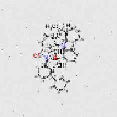 CC(C)(C)c1cccc2c3cccc(C(C)(C)C)c3n(-c3cccc4c3C(=O)N(c3cccc(-c5ccccc5)c3)C4=O)c12